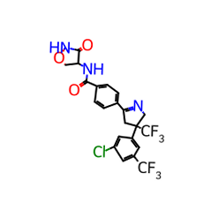 O=C(NC1CONC1=O)c1ccc(C2=NCC(c3cc(Cl)cc(C(F)(F)F)c3)(C(F)(F)F)C2)cc1